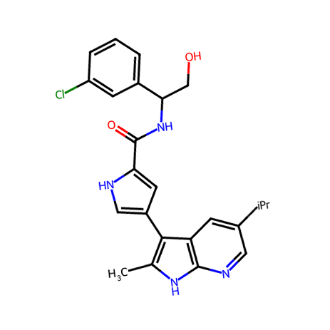 Cc1[nH]c2ncc(C(C)C)cc2c1-c1c[nH]c(C(=O)NC(CO)c2cccc(Cl)c2)c1